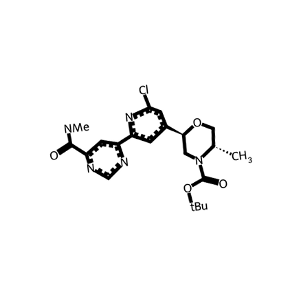 CNC(=O)c1cc(-c2cc([C@@H]3CN(C(=O)OC(C)(C)C)[C@@H](C)CO3)cc(Cl)n2)ncn1